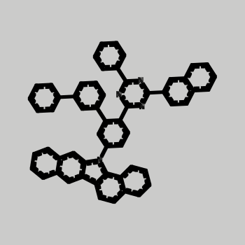 c1ccc(-c2cccc(-c3cc(-n4c5cc6ccccc6cc5c5ccc6ccccc6c54)ccc3-c3nc(-c4ccccc4)nc(-c4ccc5ccccc5c4)n3)c2)cc1